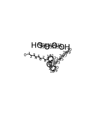 CCCCCCCCCc1ccccc1Oc1ccccc1CCCCCCCCC.OCCOCCOCCO